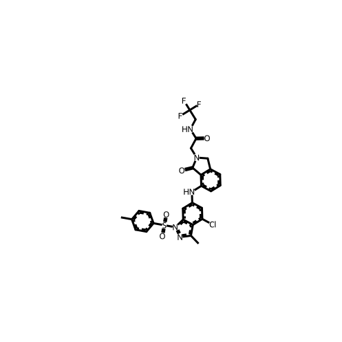 Cc1ccc(S(=O)(=O)n2nc(C)c3c(Cl)cc(Nc4cccc5c4C(=O)N(CC(=O)NCC(F)(F)F)C5)cc32)cc1